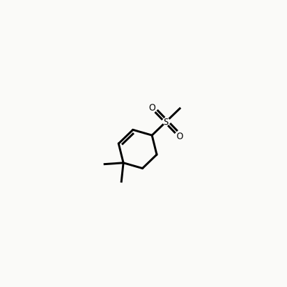 CC1(C)C=CC(S(C)(=O)=O)CC1